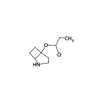 CCC([O])OC12CCNC1CC2